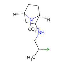 CC(F)CNC1C[C@H]2CC[C@@H]1N2C(=O)O